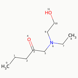 CCCC(=O)CN(CC)CCO